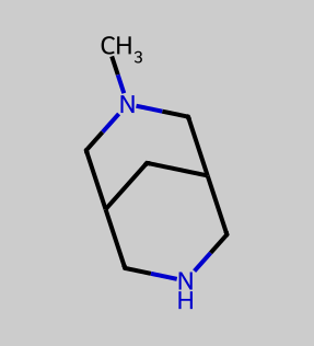 CN1CC2CNCC(C2)C1